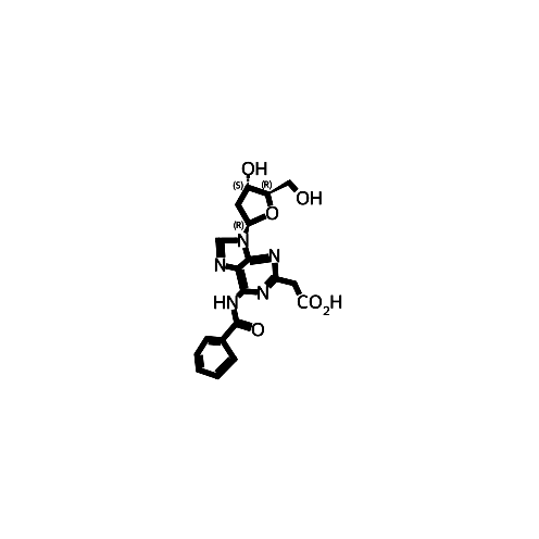 O=C(O)Cc1nc(NC(=O)c2ccccc2)c2ncn([C@H]3C[C@H](O)[C@@H](CO)O3)c2n1